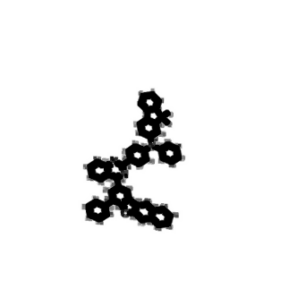 CC1(C)c2ccccc2-c2ccc(N(c3ccccc3)c3ccc(-c4nc(-c5cc(-c6ccccc6)c6oc7cc8ccccc8cc7c6c5)c5ccccc5n4)cc3)cc21